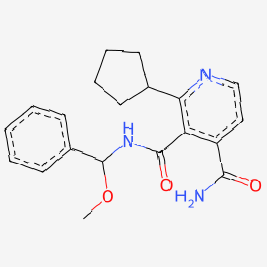 COC(NC(=O)c1c(C(N)=O)ccnc1C1CCCC1)c1ccccc1